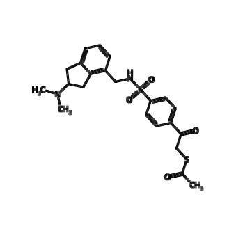 CC(=O)SCC(=O)c1ccc(S(=O)(=O)NCc2cccc3c2CC(N(C)C)C3)cc1